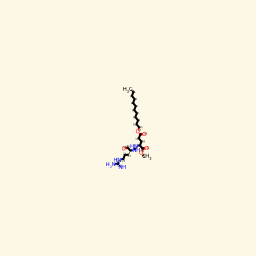 CCCCCCCCCCCCOC(=O)CCC(NN[C@@H](C=O)CCCNC(=N)N)C(=O)OC